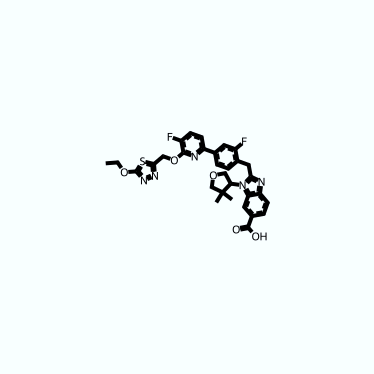 CCOc1nnc(COc2nc(-c3ccc(Cc4nc5ccc(C(=O)O)cc5n4C4COCC4(C)C)c(F)c3)ccc2F)s1